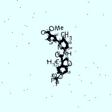 COC(=O)c1csc(-c2nc(NC(=O)[C@@]3(C)COc4cc5c(cc43)OC(F)(F)O5)ccc2C)c1